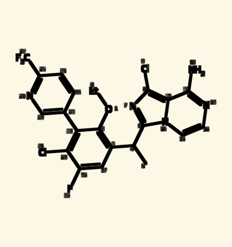 CCOc1c(C(C)c2nc(Cl)c3c(N)nccn23)cc(F)c(Cl)c1-c1ccc(C(F)(F)F)nc1